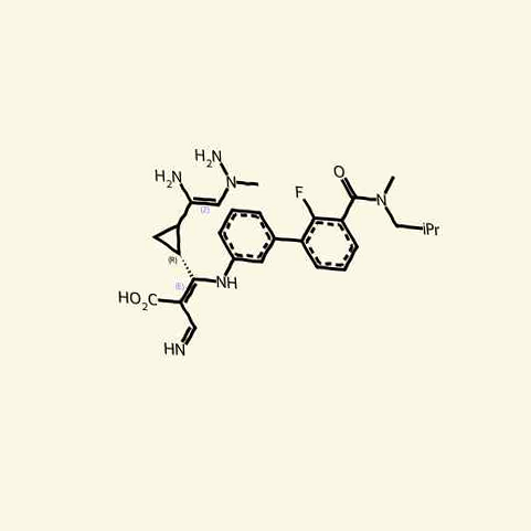 CC(C)CN(C)C(=O)c1cccc(-c2cccc(N/C(=C(\C=N)C(=O)O)[C@@H]3CC3/C(N)=C/N(C)N)c2)c1F